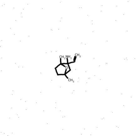 C=CC1(N)CC2(C)CCC1(C)O2